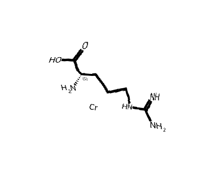 N=C(N)NCCC[C@H](N)C(=O)O.[Cr]